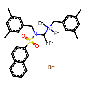 CCCC(N(Cc1cc(C)cc(C)c1)S(=O)(=O)c1ccc2ccccc2c1)[N+](CC)(CC)Cc1cc(C)cc(C)c1.[Br-]